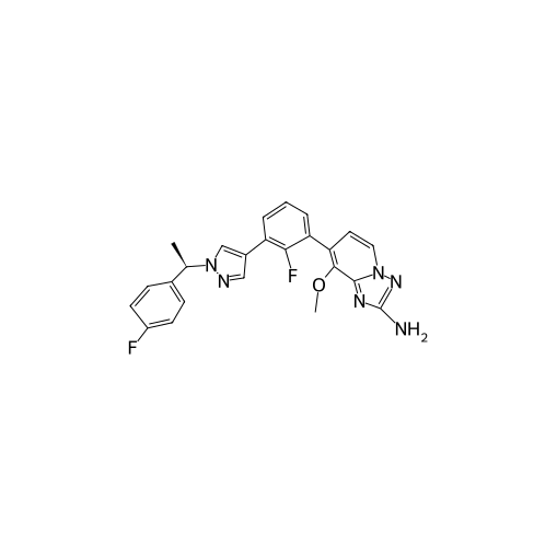 COc1c(-c2cccc(-c3cnn([C@H](C)c4ccc(F)cc4)c3)c2F)ccn2nc(N)nc12